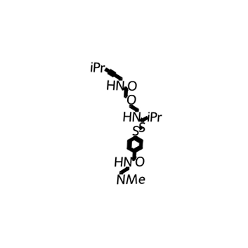 CNCCNC(=O)c1ccc(SSC(NCCOCC(=O)NCC#CC(C)C)C(C)C)cc1